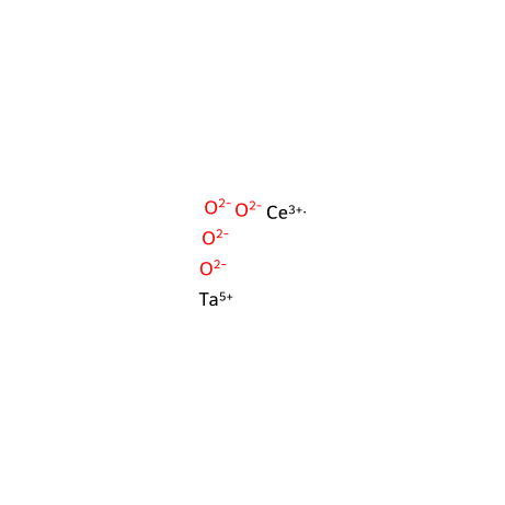 [Ce+3].[O-2].[O-2].[O-2].[O-2].[Ta+5]